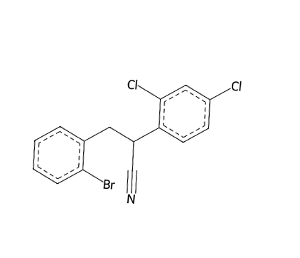 N#CC(Cc1ccccc1Br)c1ccc(Cl)cc1Cl